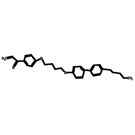 C=CC(=O)c1ccc(OCCCCOc2ccc(-c3ccc(CCCCC)cc3)cc2)cc1